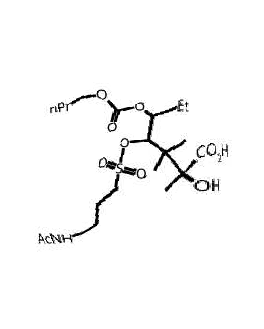 CCCOC(=O)OC(CC)C(OS(=O)(=O)CCCNC(C)=O)C(C)(C)[C@@](C)(O)C(=O)O